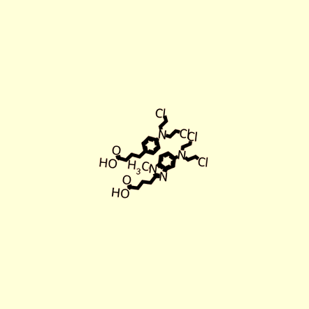 Cn1c(CCCC(=O)O)nc2cc(N(CCCl)CCCl)ccc21.O=C(O)CCCc1ccc(N(CCCl)CCCl)cc1